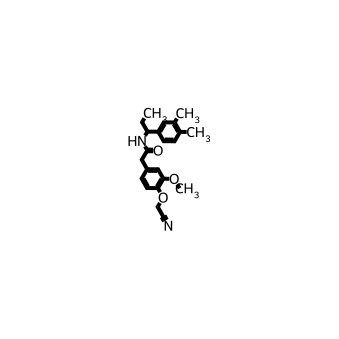 CCC(NC(=O)Cc1ccc(OCC#N)c(OC)c1)c1ccc(C)c(C)c1